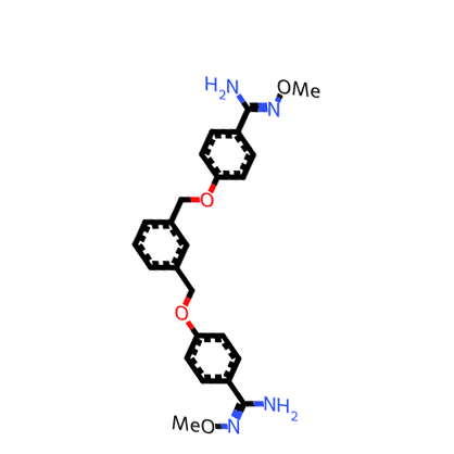 CO/N=C(\N)c1ccc(OCc2cccc(COc3ccc(/C(N)=N\OC)cc3)c2)cc1